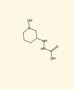 O=C(O)NNC1CCCN(O)C1